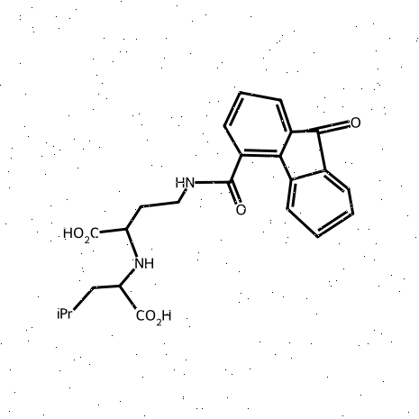 CC(C)CC(NC(CCNC(=O)c1cccc2c1-c1ccccc1C2=O)C(=O)O)C(=O)O